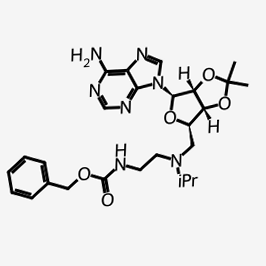 CC(C)N(CCNC(=O)OCc1ccccc1)C[C@H]1O[C@@H](n2cnc3c(N)ncnc32)[C@@H]2OC(C)(C)O[C@@H]21